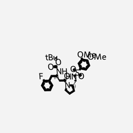 COc1ccc(S(=O)(=O)NC[C@@H]2CCCN2C(=O)C[C@@H](Cc2ccccc2F)NC(=O)OC(C)(C)C)cc1OC